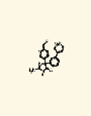 CN1C(=O)C(c2ccc(CF)nc2)(c2cccc(-c3ccnnc3)c2)N=C1N